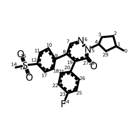 CC1CCC(n2ncc(-c3ccc(S(C)(=O)=O)cc3)c(-c3ccc(F)cc3)c2=O)C1